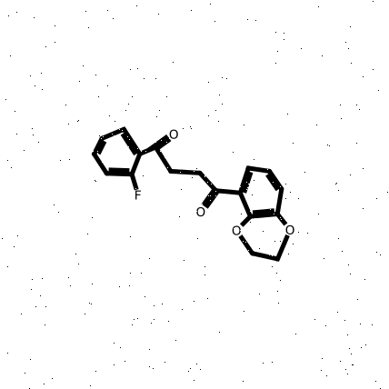 O=C(CCC(=O)c1cccc2c1OCCO2)c1ccccc1F